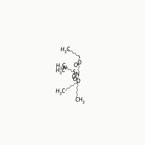 CCCCCC/C=C\COC(=O)CCCN(CC(=O)OC(CCCCCCC)CCCCCCC)C(=O)SCCCCN(C)C